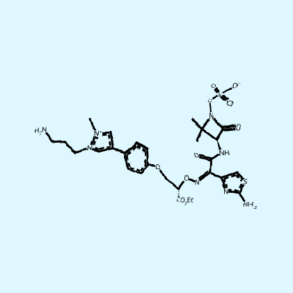 CCOC(=O)[C@H](COc1ccc(-c2cn(CCCN)[n+](C)c2)cc1)O/N=C(\C(=O)N[C@@H]1C(=O)N(OS(=O)(=O)[O-])C1(C)C)c1csc(N)n1